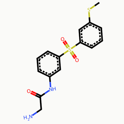 CSc1cccc(S(=O)(=O)c2cccc(NC(=O)CN)c2)c1